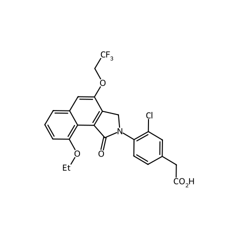 CCOc1cccc2cc(OCC(F)(F)F)c3c(c12)C(=O)N(c1ccc(CC(=O)O)cc1Cl)C3